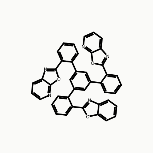 c1ccc(-c2nc3ccccc3o2)c(-c2cc(-c3ccccc3-c3nc4cccnc4o3)cc(-c3ccccc3-c3nc4cccnc4o3)c2)c1